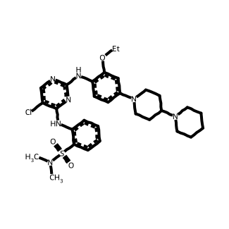 CCOc1cc(N2CCC(N3CCCCC3)CC2)ccc1Nc1ncc(Cl)c(Nc2ccccc2S(=O)(=O)N(C)C)n1